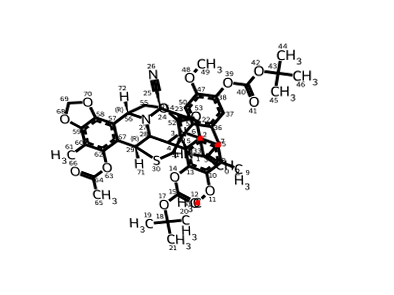 C=CCN1C2c3c(cc(C)c(OC)c3OC(=O)OC(C)(C)C)CC1[C@H](C#N)N1C2[C@@H]2SC[C@]3(NCCc4cc(OC(=O)OC(C)(C)C)c(OC)cc43)C(=O)OC[C@H]1c1c3c(c(C)c(OC(C)=O)c12)OCO3